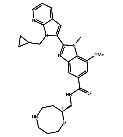 COc1cc(C(=O)NC[C@@H]2CCNCCCO2)cc2nc(-c3cc4cccnc4n3CC3CC3)n(C)c12